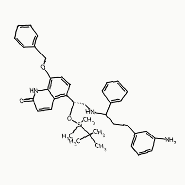 CC(C)(C)[Si](C)(C)O[C@@H](CNC(CCc1cccc(N)c1)c1ccccc1)c1ccc(OCc2ccccc2)c2[nH]c(=O)ccc12